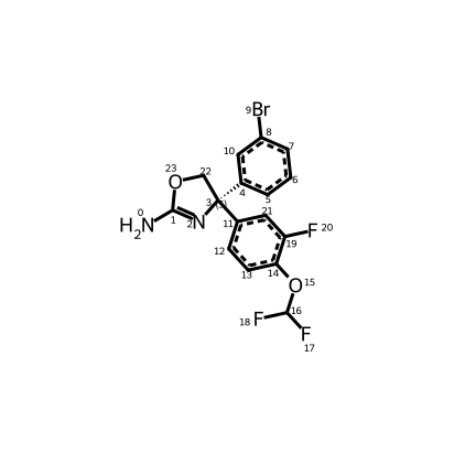 NC1=N[C@](c2cccc(Br)c2)(c2ccc(OC(F)F)c(F)c2)CO1